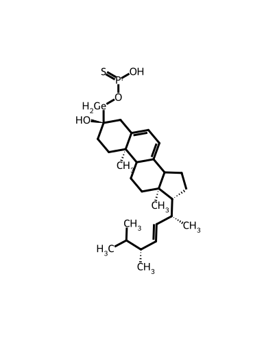 CC(C)[C@@H](C)C=C[C@@H](C)[C@H]1CCC2C3=CC=C4C[C@@](O)([GeH2][O][P](O)=S)CC[C@]4(C)C3CC[C@@]21C